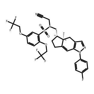 C[C@]12Cc3cnn(-c4ccc(F)cc4)c3C=C1CC[C@@H]2CN(CC#N)S(=O)(=O)c1cc(OCC(F)(F)F)ccc1OCC(F)(F)F